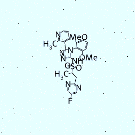 COc1cccc(OC)c1-n1c(NS(=O)(=O)[C@H](C)Cc2ncc(F)cn2)nnc1-c1cccnc1C